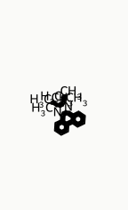 CC(C)(C)c1nc2c3ccccc3c3ccccc3c2nc1C(C)(C)C